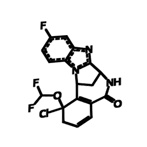 O=C1NC2CC(C3=C1C=CCC3(Cl)OC(F)F)n1c2nc2cc(F)ccc21